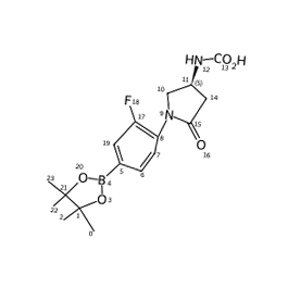 CC1(C)OB(c2ccc(N3C[C@@H](NC(=O)O)CC3=O)c(F)c2)OC1(C)C